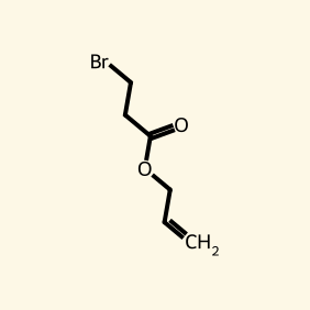 C=CCOC(=O)CCBr